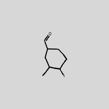 CC1CC(C=O)CCC1I